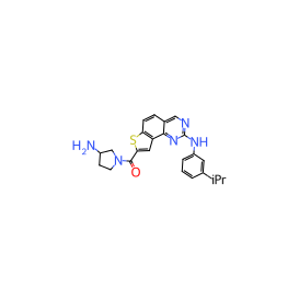 CC(C)c1cccc(Nc2ncc3ccc4sc(C(=O)N5CCC(N)C5)cc4c3n2)c1